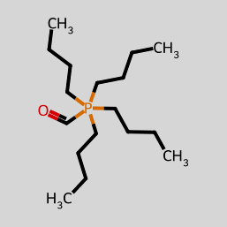 CCCCP(C=O)(CCCC)(CCCC)CCCC